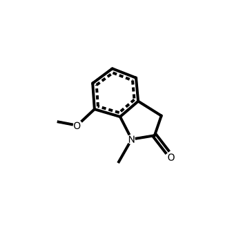 COc1cccc2c1N(C)C(=O)C2